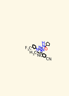 [C-]#[N+]C1=C(C)N(c2cccc(C(F)(F)F)c2)c2nc(NC(=O)C3CCCC3)nn2[C@@H]1c1ccc(C#N)cc1